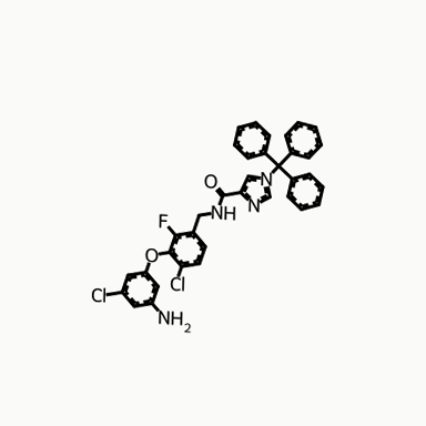 Nc1cc(Cl)cc(Oc2c(Cl)ccc(CNC(=O)c3cn(C(c4ccccc4)(c4ccccc4)c4ccccc4)cn3)c2F)c1